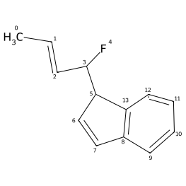 C/C=C/C(F)C1C=Cc2ccc[c]c21